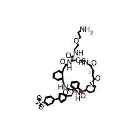 CS(=O)(=O)c1ccc(-c2ccc(C[C@@H]3NC(=O)[C@]4(Cc5ccccc5)CCCN(C4)C(=O)/C=C/C(=O)NCC[C@@H](C(=O)NCCOCCN)NC(=O)Cc4ccccc4CNC3=O)cc2)cc1